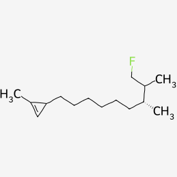 CC1=CC1CCCCCC[C@@H](C)C(C)CF